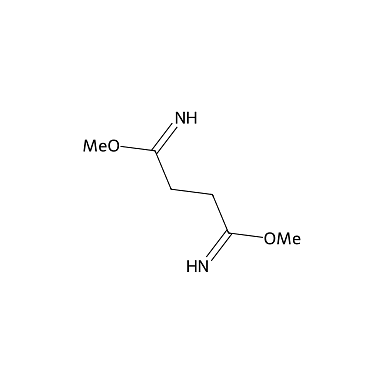 COC(=N)CCC(=N)OC